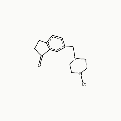 CCN1CCN(Cc2ccc3c(c2)C(=O)CC3)CC1